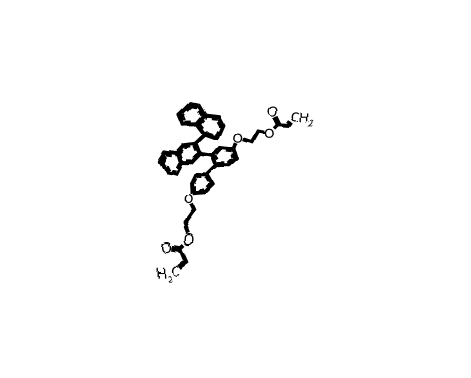 C=CC(=O)OCCOc1ccc(-c2ccc(OCCOC(=O)C=C)cc2-c2cc3ccccc3cc2-c2cccc3ccccc23)cc1